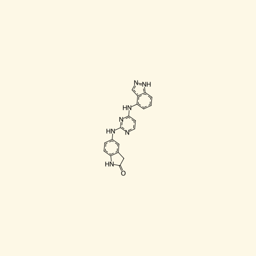 O=C1Cc2cc(Nc3nccc(Nc4cccc5[nH]ncc45)n3)ccc2N1